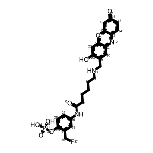 O=C(CCCCCNCc1cc2nc3ccc(=O)cc-3oc2cc1O)Nc1ccc(OP(=O)(O)O)c(CF)c1